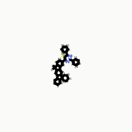 CC1(C)C2=CC3c4ccccc4C4(CCCCC4)C3C=C2c2cc(-c3nc(-c4ccccc4)nc4c3sc3ccccc34)ccc21